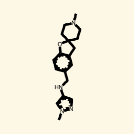 CN1CCC2(CC1)Cc1cc(CNc3cnn(C)c3)ccc1O2